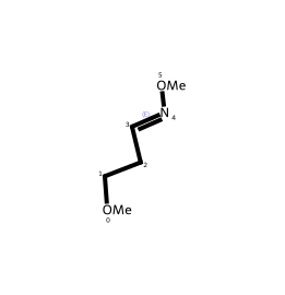 COCC/C=N/OC